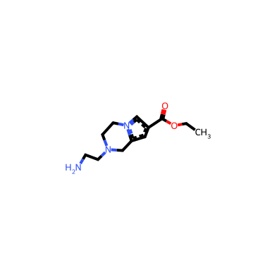 CCOC(=O)c1cc2n(c1)CCN(CCN)C2